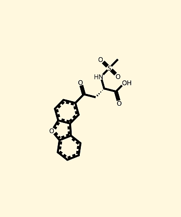 CS(=O)(=O)N[C@@H](CC(=O)c1ccc2oc3ccccc3c2c1)C(=O)O